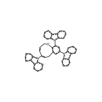 C1=C\C(n2c3ccccc3c3ccccc32)=C/Cc2cc(-n3c4ccccc4c4ccccc43)cc(-n3c4ccccc4c4ccccc43)c2OC/1